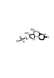 O=c1ccn([C@@H]2O[C@H](COP(=O)([O-])O)[C@@H](O)[C@H]2O)c(=O)[nH]1.[Na+]